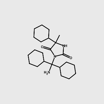 CC1(C2CCCCC2)NC(=O)N(C(N)(C2CCCCC2)C2CCCCC2)C1=O